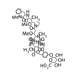 C#CCOc1cc(OC2O[C@H](C(=O)O)[C@@H](O)[C@H](O)[C@H]2O)ccc1COC(=O)N(C)[C@H](C(=O)N[C@H](C(=O)N(C)C(C(C)CC)C(CC(=O)N1CCC[C@H]1[C@H](OC)C(C)C(=O)NC(Cc1ccccc1)C(=O)NC)OC)C(C)C)C(C)C